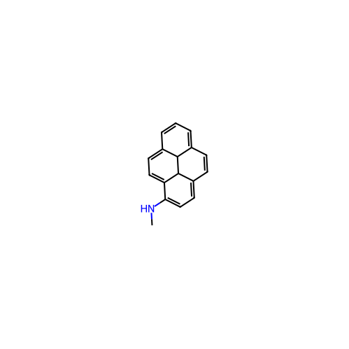 CNC1=CC=C2C=CC3=CC=CC4=CC=C1C2C34